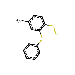 Cc1ccc(SS)c(Sc2ccccc2)c1